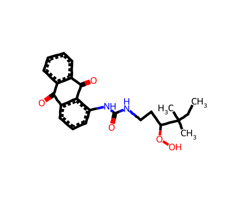 CCC(C)(C)C(CCNC(=O)Nc1cccc2c1C(=O)c1ccccc1C2=O)OO